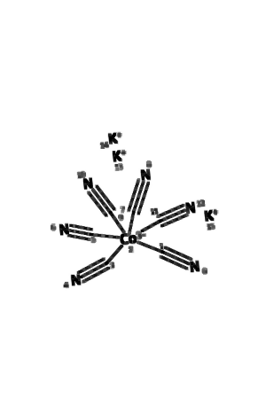 N#[C][Co-3]([C]#N)([C]#N)([C]#N)([C]#N)[C]#N.[K+].[K+].[K+]